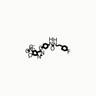 COc1cc2ncnc(Oc3ccc(NC(=O)NCCc4ccc(F)cc4)cc3)c2cc1[N+](=O)[O-]